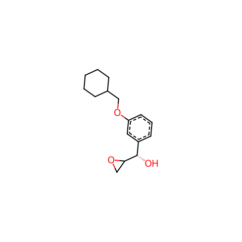 O[C@@H](c1cccc(OCC2CCCCC2)c1)C1CO1